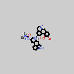 CCN(CC)C(=O)N[C@H]1C=C2c3cccc4[nH]cc(c34)C[C@H]2N(C)C1.CN1CCc2cccc3c2[C@H]1Cc1ccc(O)c(O)c1-3